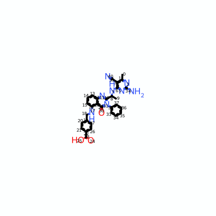 Cc1nc(N)nc(NC(C)c2nc3cccc(NCc4ccc(C(=O)O)cc4)c3c(=O)n2-c2ccccc2)c1C#N